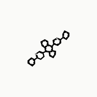 C1=C(c2c3ccccc3c(-c3ccc(-c4ccccc4)nc3)c3ccccc23)CCC(c2ccccc2)=N1